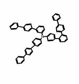 c1ccc(-c2ccc(-c3ccc(N(c4ccc(-c5ccccc5-c5ccc(-c6ccccc6)cc5)cc4)c4cccc(-c5ccc(-c6ccccc6)cc5)c4)cc3)cc2)cc1